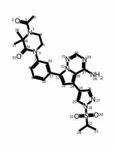 CC(=O)N1CCN(c2cccc(-c3cc(-c4cnn(S(=O)(=O)C(C)C)c4)c4c(N)ncnn34)c2)C(=O)C1(C)C